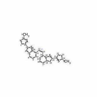 Cc1ccc(-c2cc3cccc(/C=C\c4cccc5cc(-c6ccc(C)s6)sc45)c3s2)s1